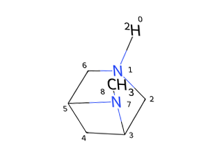 [2H]N1CC2CC(C1)N2C